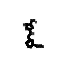 COc1cccc(CNc2n[nH]c(N)n2)c1